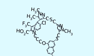 Cc1c2c(nn1C)CSCc1cc(n(C)n1)CSc1cc(c3ccc(F)cc3c1)OCCCn1c(C(=O)O)c(C(F)(F)F)c3c-2c(Cl)ccc31